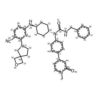 Cn1ccc(-c2ccc(N(C(=O)NCc3ccccc3)[C@H]3CC[C@H](Nc4ncc(C#N)c(N5CCC6(COC6)C5)n4)CC3)cn2)cc1=O